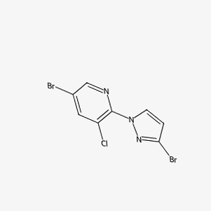 Clc1cc(Br)cnc1-n1ccc(Br)n1